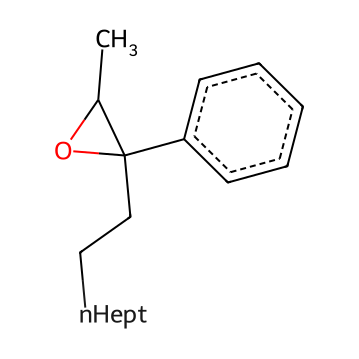 CCCCCCCCCC1(c2ccccc2)OC1C